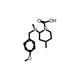 COc1ccc(CN(C)C2CC(C)CCN2C(=O)O)cc1